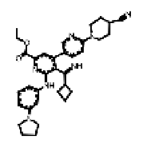 CCOC(=O)c1cc(-c2ccc(N3CCC(C#N)CC3)nc2)c(C(=N)C2CCC2)c(Nc2cccc(N3CCCC3)c2)n1